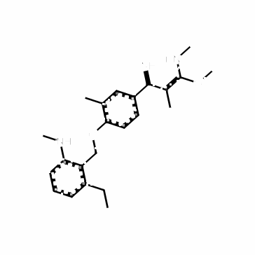 CCc1cccc(NC)c1COc1ccc(C(=N)/C(C)=C(\NC)OC)cc1C